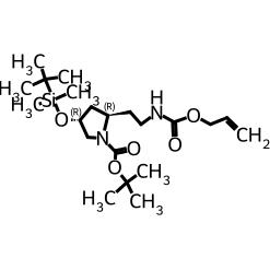 C=CCOC(=O)NCC[C@@H]1C[C@@H](O[Si](C)(C)C(C)(C)C)CN1C(=O)OC(C)(C)C